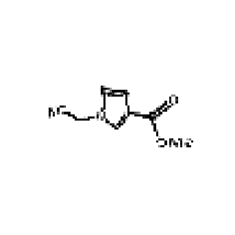 COC(=O)c1ccn(CC#N)c1